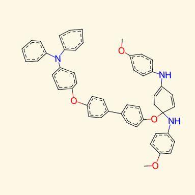 COc1ccc(NC2=CCC(Nc3ccc(OC)cc3)(Oc3ccc(-c4ccc(Oc5ccc(N(c6ccccc6)c6ccccc6)cc5)cc4)cc3)C=C2)cc1